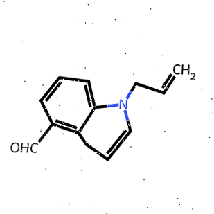 C=CCN1C=CCc2c(C=O)cccc21